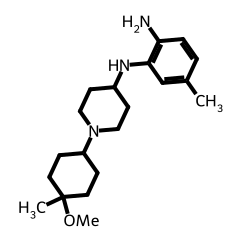 COC1(C)CCC(N2CCC(Nc3cc(C)ccc3N)CC2)CC1